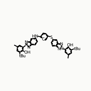 Cc1cc(-n2nc3ccc(Nc4ccc(Sc5ccc6nn(-c7cc(C)cc(C(C)(C)C)c7O)nc6c5)cc4)cc3n2)c(O)c(C(C)(C)C)c1